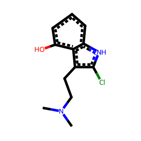 CN(C)CCc1c(Cl)[nH]c2cccc(O)c12